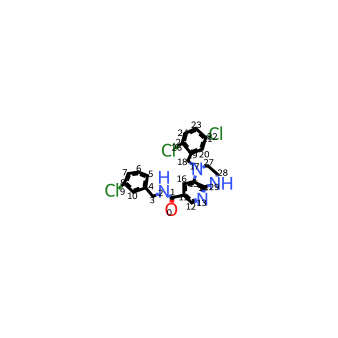 O=C(NCc1cccc(Cl)c1)c1cnc2c(c1)N(Cc1cc(Cl)ccc1Cl)CCN2